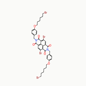 O=C1c2cc(Br)c3c4c(cc(Br)c(c24)C(=O)N1Cc1ccc(OCCCCCCBr)cc1)C(=O)N(Cc1ccc(OCCCCCCBr)cc1)C3=O